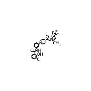 Cc1cc(C(F)(F)F)nn1CC(=O)N1CCN(c2cccc(NC(=O)c3cccc(Cl)c3O)c2)CC1